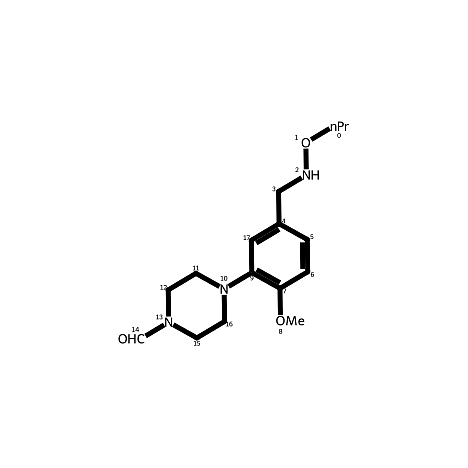 CCCONCc1ccc(OC)c(N2CCN(C=O)CC2)c1